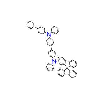 c1ccc(-c2ccc(N(c3ccccc3)c3ccc(-c4ccc5c(c4)c4ccc6c(c4n5-c4ccccc4)-c4ccccc4C6(c4ccccc4)c4ccccc4)cc3)cc2)cc1